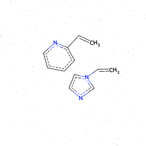 C=Cc1ccccn1.C=Cn1ccnc1